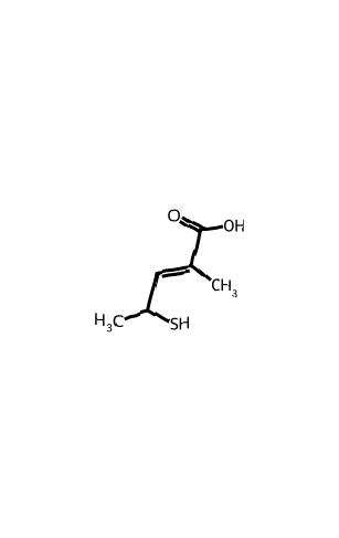 C/C(=C\C(C)S)C(=O)O